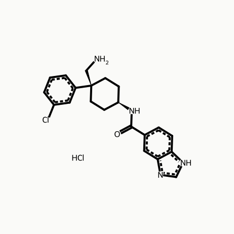 Cl.NC[C@]1(c2cccc(Cl)c2)CC[C@H](NC(=O)c2ccc3[nH]cnc3c2)CC1